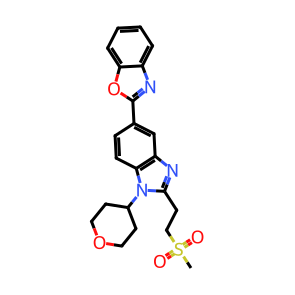 CS(=O)(=O)CCc1nc2cc(-c3nc4ccccc4o3)ccc2n1C1CCOCC1